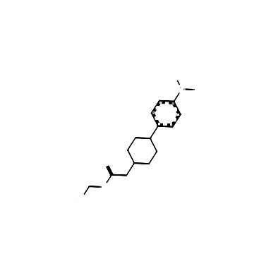 CCOC(=O)CC1CCC(c2ccc(N(C)C)cc2)CC1